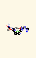 COc1nc(-c2cccc(-c3ccnc(-c4cc5c(=O)n(C)c(CNC[C@@H]6CCC(=O)N6)nn5c4)c3Cl)c2Cl)ccc1CN(C[C@@H]1CCC(=O)N1)C(=O)OC(C)(C)C